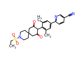 CCS(=O)(=O)N1CCC2(CC1)CC(=O)C(c1c(C)cc(-c3ccc(C#N)cn3)cc1C)C(=O)C2